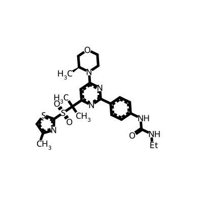 CCNC(=O)Nc1ccc(-c2nc(N3CCOC[C@@H]3C)cc(C(C)(C)S(=O)(=O)c3nc(C)cs3)n2)cc1